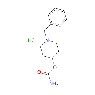 Cl.NC(=O)OC1CCN(Cc2ccccc2)CC1